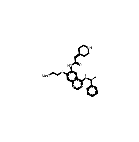 COCCOc1cc2ncnc(N[C@@H](C)c3ccccc3)c2cc1NC(=O)C=C1CCNCC1